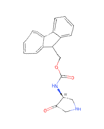 O=C(N[C@H]1CNCC1=O)OCC1c2ccccc2-c2ccccc21